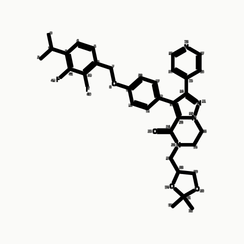 CC(C)c1ccc(COc2ccc(-c3c(-c4ccncc4)nn4c3C(=O)N(CC3COC(C)(C)O3)CC4)cc2)c(F)c1F